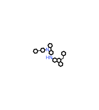 c1ccc(Cc2cc3cc(Nc4ccc5c6ccccc6n(-c6ccc(-c7ccccc7)cc6)c5c4)ccc3c3ccccc23)cc1